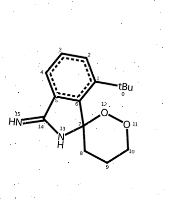 CC(C)(C)c1cccc2c1C1(CCCOO1)NC2=N